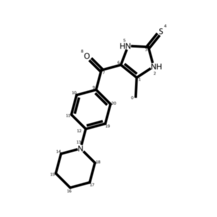 Cc1[nH]c(=S)[nH]c1C(=O)c1ccc(N2CCCCC2)cc1